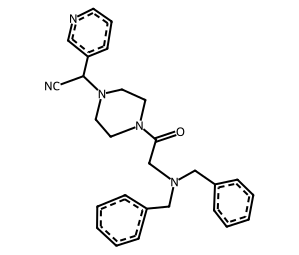 N#CC(c1cccnc1)N1CCN(C(=O)CN(Cc2ccccc2)Cc2ccccc2)CC1